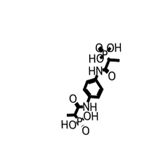 CC(C(=O)Nc1ccc(NC(=O)C(C)P(=O)(O)O)cc1)P(=O)(O)O